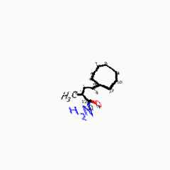 CC(CCC1CCCCCCC1)C(N)=O